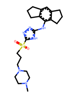 CN1CCN(CCCS(=O)(=O)c2nnc(Nc3c4c(cc5c3CCC5)CCC4)[nH]2)CC1